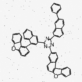 c1ccc(-c2ccc3ccc(-c4nc(-c5cc(-c6cccc7oc8ccccc8c67)c6ccccc6c5)nc(-c5ccc6c(ccc7oc8ccccc8c76)c5)n4)cc3c2)cc1